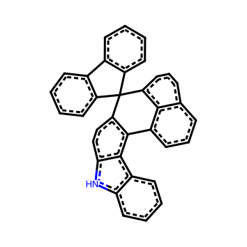 c1ccc2c(c1)-c1ccccc1C21c2ccc3[nH]c4ccccc4c3c2-c2cccc3cccc1c23